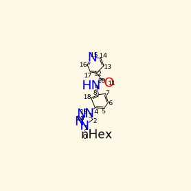 CCCCCCN1CN(c2cccc(NC(=O)c3ccncc3)c2)N=N1